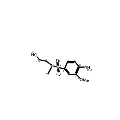 COc1cc(S(=O)(=O)N(C)CCO)ccc1N